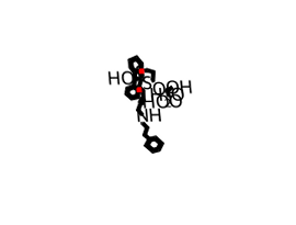 O.O=C(O)C(=O)O.OC(c1ccccc1)(c1ccccc1)C1(CCC#CCNCCCc2ccccc2)SCCCS1